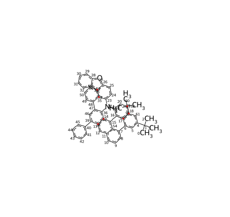 CC(C)(C)c1cc(-c2cccc3cccc(-c4ccccc4N(c4ccc5oc6ccccc6c5c4)c4ccc(-c5ccccc5)cc4-c4ccccc4)c23)cc(C(C)(C)C)c1